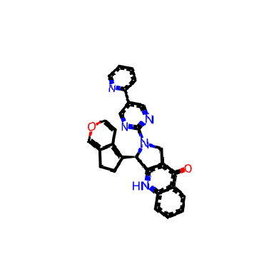 O=c1c2c([nH]c3ccccc13)[C@@H](C1=C3C=COC=C3CC1)N(c1ncc(-c3ccccn3)cn1)C2